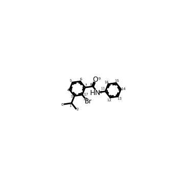 CC(C)c1cccc(C(=O)Nc2ccccc2)c1Br